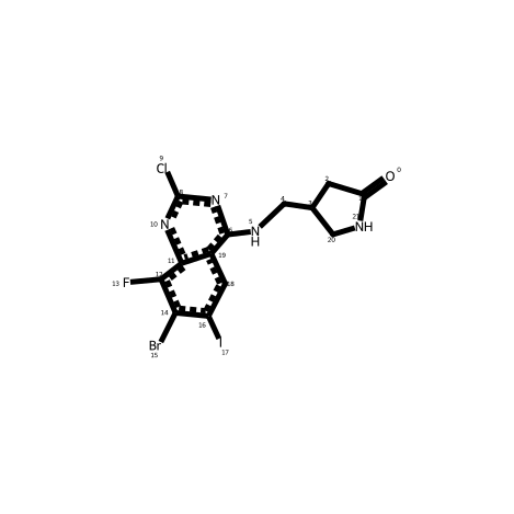 O=C1CC(CNc2nc(Cl)nc3c(F)c(Br)c(I)cc23)CN1